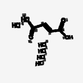 Cl.Cl.Cl.Cl.Cl.O=C(O)/C=C/C(=O)O